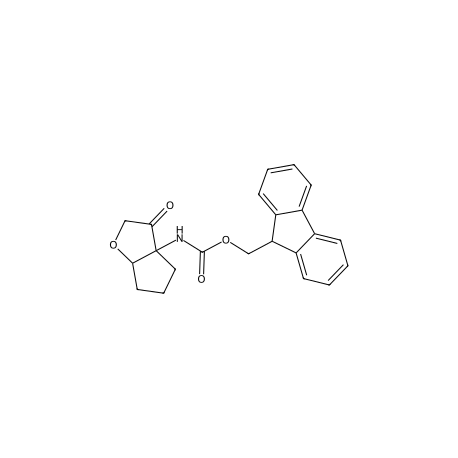 O=C(NC12CCCC1OCC2=O)OCC1c2ccccc2-c2ccccc21